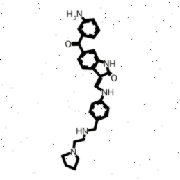 Nc1cccc(C(=O)c2ccc3c(c2)NC(=O)C3=CNc2ccc(CNCCN3CCCC3)cc2)c1